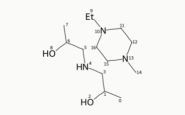 CC(O)CNCC(C)O.CCN1CCN(C)CC1